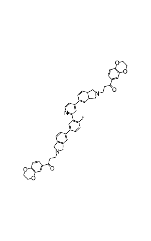 O=C(CCN1Cc2ccc(-c3ccc(F)c(-c4cc(C5=CC6CN(CCC(=O)c7ccc8c(c7)OCCO8)CC6C=C5)ccn4)c3)cc2C1)c1ccc2c(c1)OCCO2